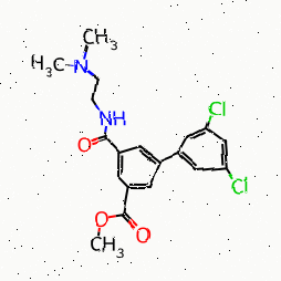 COC(=O)c1cc(C(=O)NCCN(C)C)cc(-c2cc(Cl)cc(Cl)c2)c1